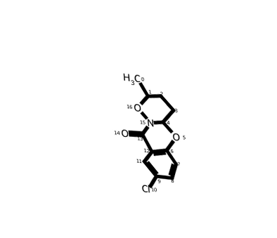 CC1CCC2Oc3ccc(Cl)cc3C(=O)N2O1